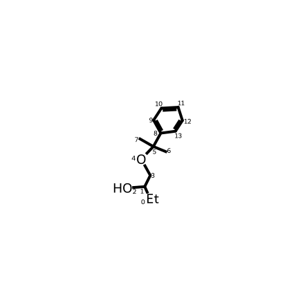 CCC(O)COC(C)(C)c1ccccc1